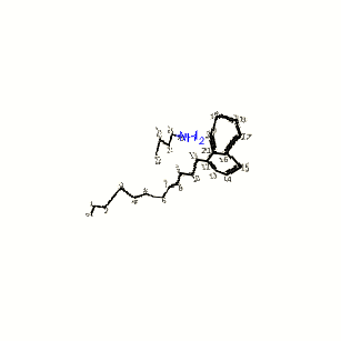 CCCCCCCCCCCCc1cccc2ccccc12.CCCCN